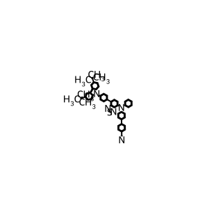 CC(C)(C)c1ccc2c(c1)c1cc(C(C)(C)C)ccc1n2-c1ccc(-c2ccc(N(c3ccccc3)c3ccc(-c4ccc(C#N)cc4)cc3)c3nsnc23)cc1